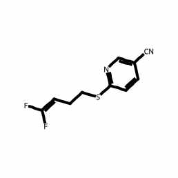 N#Cc1ccc(SCCC=C(F)F)nc1